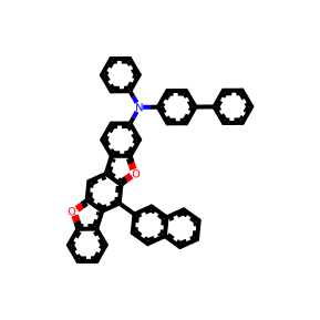 c1ccc(-c2ccc(N(c3ccccc3)c3ccc4c(c3)oc3c(-c5ccc6ccccc6c5)c5c(cc34)oc3ccccc35)cc2)cc1